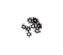 c1ccc(-c2cc(-c3cc(-n4c5cccnc5c5ncccc54)c(N4c5ccccc5Sc5ccccc54)c(-n4c5cccnc5c5ncccc54)c3)nc(-c3ccccc3)n2)cc1